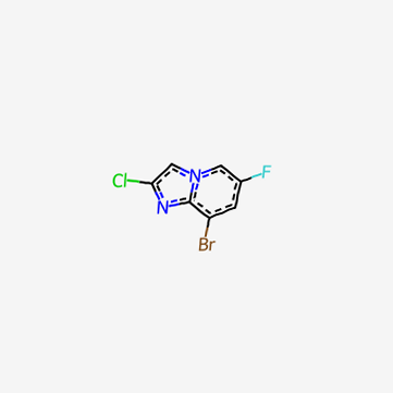 Fc1cc(Br)c2nc(Cl)cn2c1